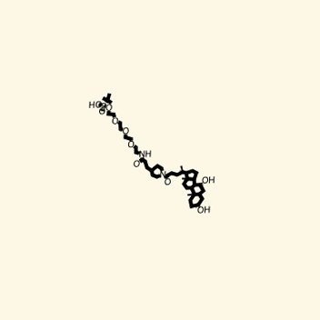 C[C@H](CCC(=O)N1CCC(CCC(=O)NCCOCCOCCOCCOP(=O)(O)C(C)(C)C)CC1)C1CCC2C3C(CC[C@@]21C)[C@@]1(C)CC[C@@H](O)CC1C[C@H]3O